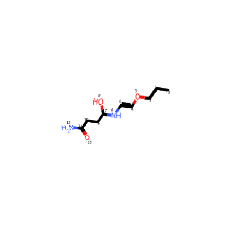 CCCO/C=C/NC(O)CCC(N)=O